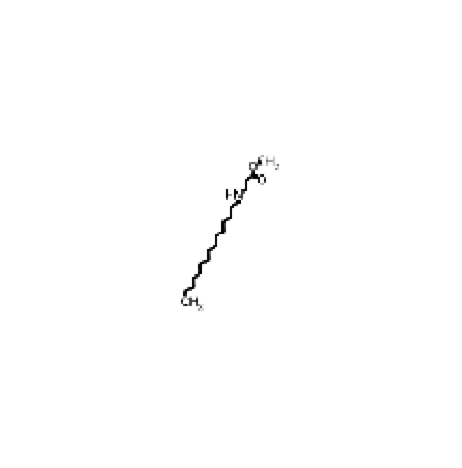 CCCCCCCCCCCCCCCNCCC(=O)OC